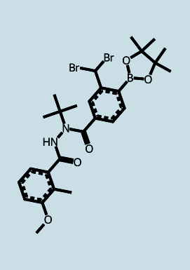 COc1cccc(C(=O)NN(C(=O)c2ccc(B3OC(C)(C)C(C)(C)O3)c(C(Br)Br)c2)C(C)(C)C)c1C